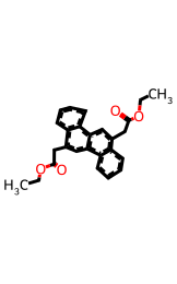 CCOC(=O)Cc1cc2c3ccccc3c(CC(=O)OCC)cc2c2ccccc12